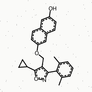 Cc1cccc(C)c1-c1noc(C2CC2)c1COc1ccc2cc(O)ccc2c1